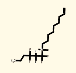 C=CCCCCCCC[Si](C)(C)C(F)(F)C(F)(F)C(F)(F)CCC(F)(F)F